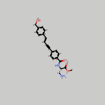 COC(=O)[C@H](CN)NC(=O)c1ccc(C#C/C=C/c2ccc(CO)cc2)cc1